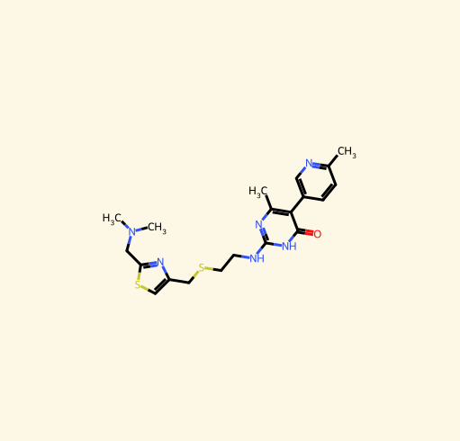 Cc1ccc(-c2c(C)nc(NCCSCc3csc(CN(C)C)n3)[nH]c2=O)cn1